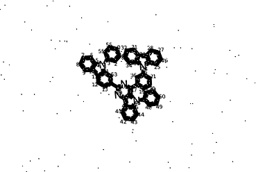 c1ccc(-n2c3ccccc3c3ccc(-c4nc(-c5cccc(-n6c7ccccc7c7ccccc76)c5)c5c(n4)c4ccccc4n5-c4ccccc4)cc32)cc1